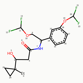 CCC1(C(O)CC(=O)NC(COC(F)F)c2cccc(OC(F)F)c2)CC1